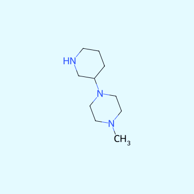 CN1CCN(C2CCCNC2)CC1